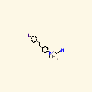 CN(CCC#N)c1ccc(/C=C/c2ccc(I)cc2)cc1